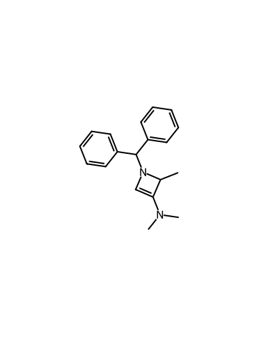 CC1C(N(C)C)=CN1C(c1ccccc1)c1ccccc1